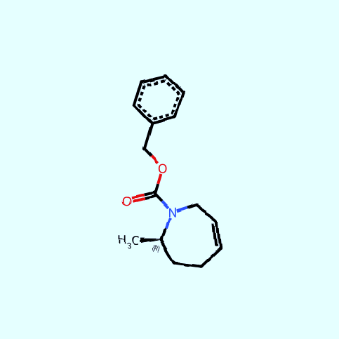 C[C@@H]1CCC=CCN1C(=O)OCc1ccccc1